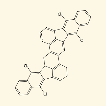 Clc1c2c(c(Cl)c3ccccc13)C1Cc3c(cc4c5c(cccc35)-c3c-4c(Cl)c4ccccc4c3Cl)C3=C1C2=CCC3